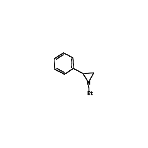 CCN1CC1c1ccccc1